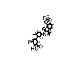 Cc1ccc(NC(=O)C2(c3ccc4c(c3)OC(F)(F)O4)CC2)cc1-c1cc(F)cc(C(=O)O)c1